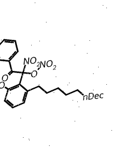 CCCCCCCCCCCCCCCc1cccc(O)c1C(O[N+](=O)[O-])(C(=O)c1ccccc1)[N+](=O)[O-]